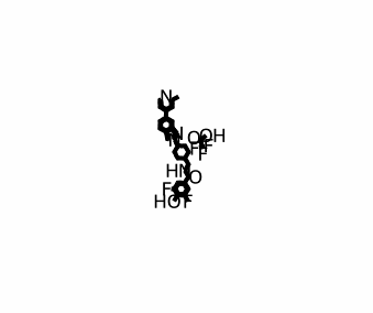 Cc1cc(-c2ccc3cn(C4CCC(CNC(=O)c5cc(F)c(O)c(F)c5)CC4)nc3c2)ccn1.O=C(O)C(F)(F)F